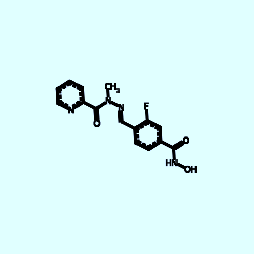 CN(N=Cc1ccc(C(=O)NO)cc1F)C(=O)c1ccccn1